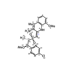 COc1cccc(OC)c1N/C(=N/S(=O)(=O)[C@@H](C)[C@H](OC)c1ncc(Cl)cn1)NN